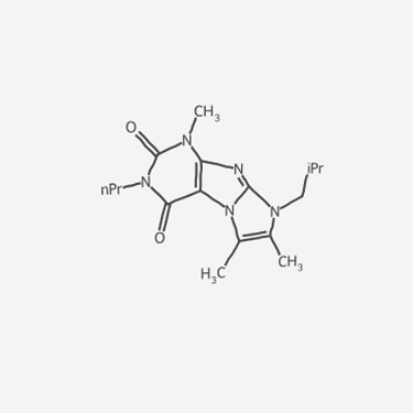 CCCn1c(=O)c2c(nc3n(CC(C)C)c(C)c(C)n23)n(C)c1=O